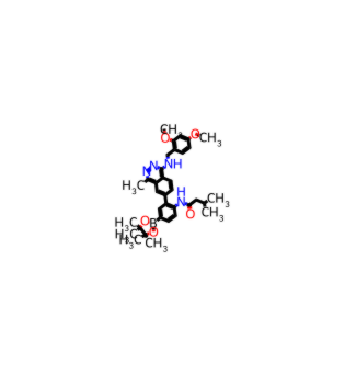 COc1ccc(CNc2nnc(C)c3cc(-c4cc(B5OC(C)(C)C(C)(C)O5)ccc4NC(=O)CC(C)C)ccc23)c(OC)c1